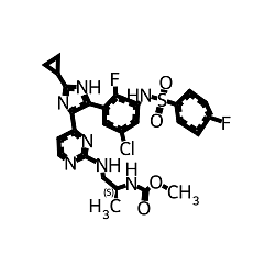 COC(=O)N[C@@H](C)CNc1nccc(-c2nc(C3CC3)[nH]c2-c2cc(Cl)cc(NS(=O)(=O)c3ccc(F)cc3)c2F)n1